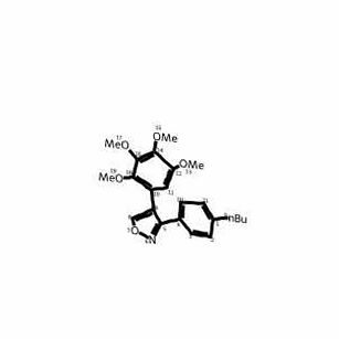 CCCCc1ccc(-c2nocc2-c2cc(OC)c(OC)c(OC)c2OC)cc1